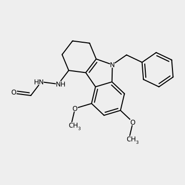 COc1cc(OC)c2c3c(n(Cc4ccccc4)c2c1)CCCC3NNC=O